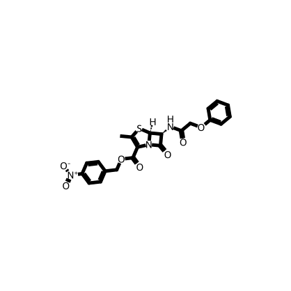 CC1=C(C(=O)OCc2ccc([N+](=O)[O-])cc2)N2C(=O)[C@@H](NC(=O)COc3ccccc3)[C@@H]2S1